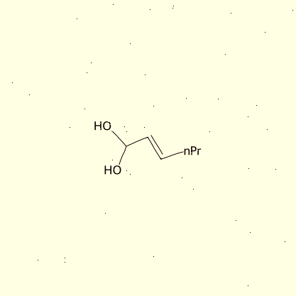 CCCC=CC(O)O